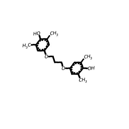 Cc1cc(OCCCOc2cc(C)c(O)c(C)c2)cc(C)c1O